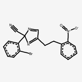 N#CC1(c2ccccc2Br)N=CC(CCc2ccccc2[N+](=O)[O-])=N1